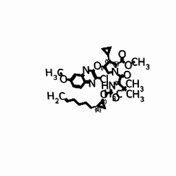 C=CCCCC[C@@H]1C[C@H]1OC(=O)N[C@H](C(=O)N1C[C@H](Oc2nc3cc(OC)ccc3nc2Cl)[C@@H](C2CC2)[C@H]1C(=O)OC)C(C)(C)C